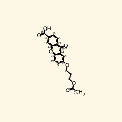 CC(=O)OCCCOc1ccc2oc3cc(C(=O)O)ccc3c(=O)c2c1